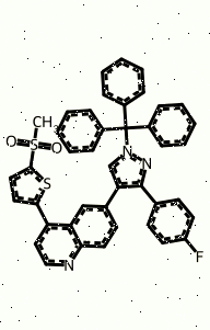 CS(=O)(=O)c1ccc(-c2ccnc3ccc(-c4cn(C(c5ccccc5)(c5ccccc5)c5ccccc5)nc4-c4ccc(F)cc4)cc23)s1